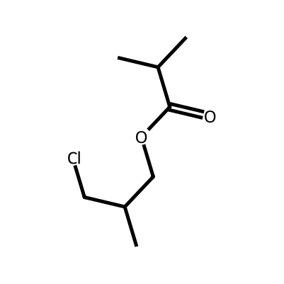 CC(CCl)COC(=O)C(C)C